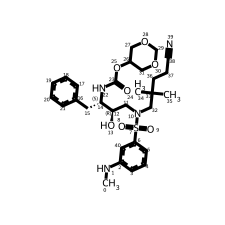 CNc1cccc(S(=O)(=O)N(C[C@@H](O)[C@H](Cc2ccccc2)NC(=O)OC2COCOC2)CC(C)(C)CCC#N)c1